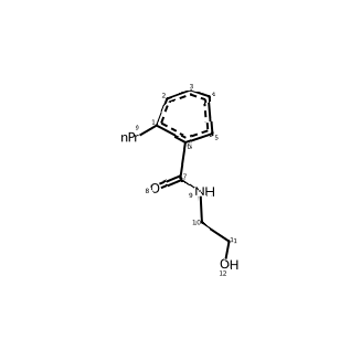 CCCc1ccccc1C(=O)NCCO